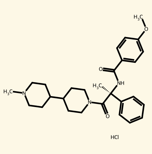 COc1ccc(C(=O)N[C@](C)(C(=O)N2CCC(C3CCN(C)CC3)CC2)c2ccccc2)cc1.Cl